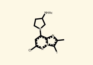 CC(=O)NC1CCN(c2cc(Cl)nn3c(I)c(C)nc23)C1